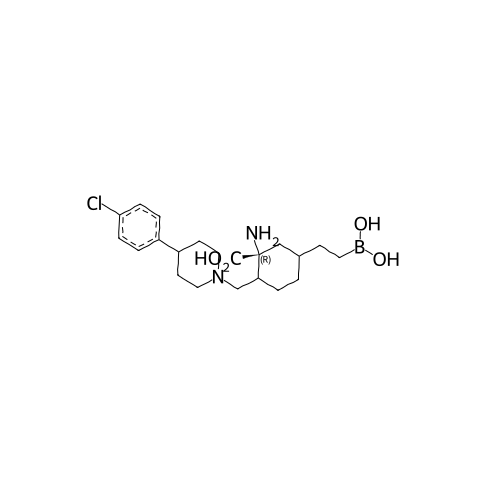 N[C@]1(C(=O)O)CC(CCB(O)O)CCC1CN1CCC(c2ccc(Cl)cc2)CC1